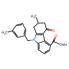 COC(=O)c1cccc2c1c1c(n2Cc2cccc(C)c2)CC(C)CC1=O